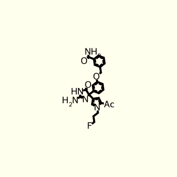 CC(=O)c1cc(C2(c3cccc(OCc4cccc(C(N)=O)c4)c3)N=C(N)NC2=O)cn1CCCF